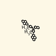 Cc1cc(N(c2ccc(-c3cc4ccc5cccc6ccc(c3)c4c56)c(C)c2)c2ccc3ccccc3c2)ccc1-c1cc2ccc3cccc4ccc(c1)c2c34